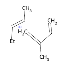 C/C=C/CC.C=CC(=C)C